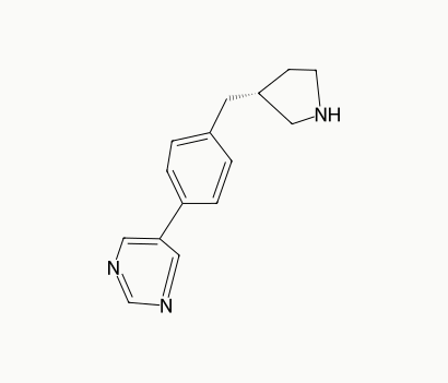 c1ncc(-c2ccc(C[C@@H]3CCNC3)cc2)cn1